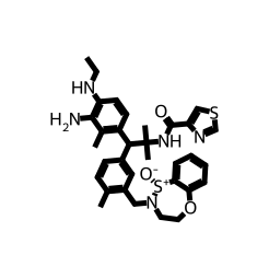 CCNc1ccc(C(c2ccc(C)c(CN3CCOc4ccccc4[S+]3[O-])c2)C(C)(C)NC(=O)c2cscn2)c(C)c1N